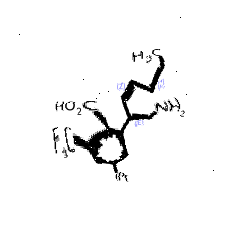 C\C=C/C=C\C(=C/N)c1cc(C(C)C)cc(C(F)(F)F)c1C(=O)O